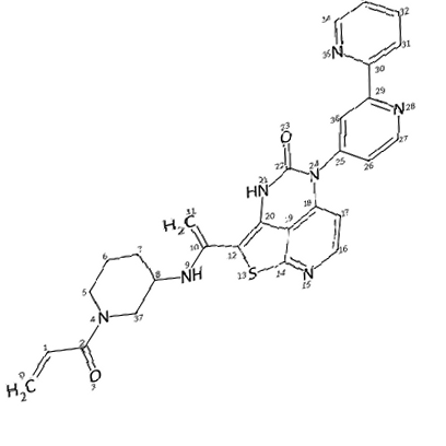 C=CC(=O)N1CCCC(NC(=C)c2sc3nccc4c3c2NC(=O)N4c2ccnc(-c3ccccn3)c2)C1